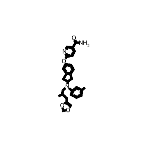 Cc1cccc(N(CC(C)CC2=COCO2)C2Cc3ccc(Oc4ccc(C(N)=O)cn4)cc3C2)c1